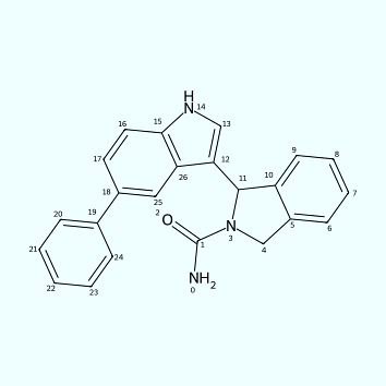 NC(=O)N1Cc2ccccc2C1c1c[nH]c2ccc(-c3ccccc3)cc12